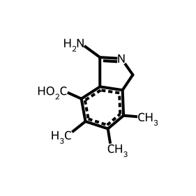 Cc1c(C)c2c(c(C(=O)O)c1C)C(N)=NC2